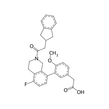 COc1ccc(CC(=O)O)cc1-c1ccc(F)c2c1CN(C(=O)CC1Cc3ccccc3C1)CC2